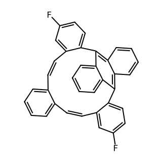 Fc1ccc2c(ccc3ccccc3ccc3cc(F)ccc3c3c4ccccc4c2c2ccccc23)c1